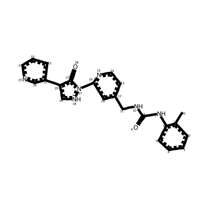 Cc1ccccc1NC(=O)NCc1ccnc(-n2[nH]cc(-c3cccnc3)c2=O)c1